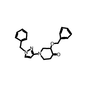 O=C1CCN(c2ccn(Cc3ccccc3)n2)CC1OCc1ccccc1